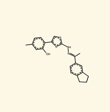 C/C(=N\Nc1nc(-c2ccc(C)cc2O)cs1)c1ccc2c(c1)CCC2